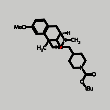 COc1ccc2c(c1)[C@@]1(C)CCN(C)[C@H](C2)C1NCC1CCN(C(=O)OC(C)(C)C)CC1